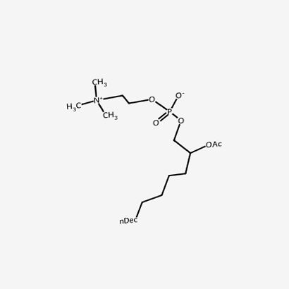 CCCCCCCCCCCCCCC(COP(=O)([O-])OCC[N+](C)(C)C)OC(C)=O